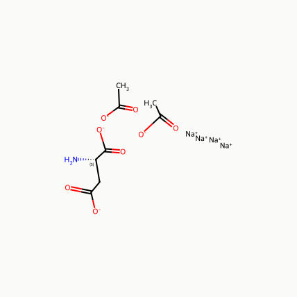 CC(=O)[O-].CC(=O)[O-].N[C@@H](CC(=O)[O-])C(=O)[O-].[Na+].[Na+].[Na+].[Na+]